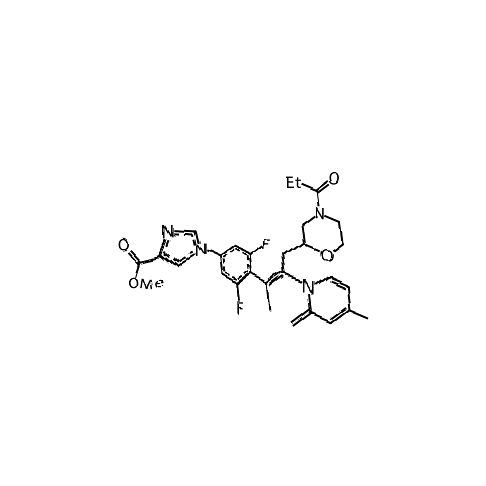 C=C1C=C(C)C=CN1/C(CC1CN(C(=O)CC)CCO1)=C(\C)c1c(F)cc(-n2cnc(C(=O)OC)c2)cc1F